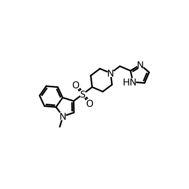 Cn1cc(S(=O)(=O)C2CCN(Cc3ncc[nH]3)CC2)c2ccccc21